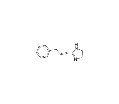 C1=NCCN1.C=CCc1ccccc1